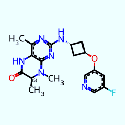 Cc1nc(N[C@H]2C[C@H](Oc3cncc(F)c3)C2)nc2c1NC(=O)[C@H](C)N2C